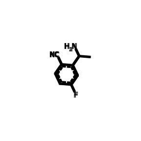 CC(N)c1cc(F)ccc1C#N